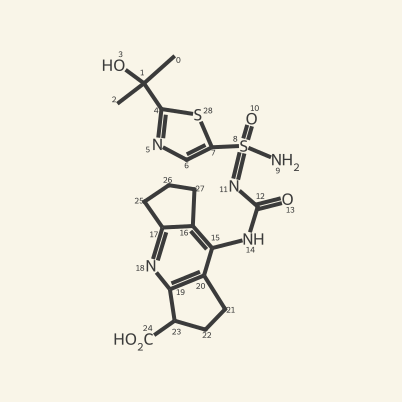 CC(C)(O)c1ncc(S(N)(=O)=NC(=O)Nc2c3c(nc4c2CCC4C(=O)O)CCC3)s1